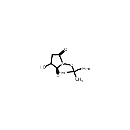 CCCCCCC(C)(CCCCC)ON1C(=O)CC(O)C1=O